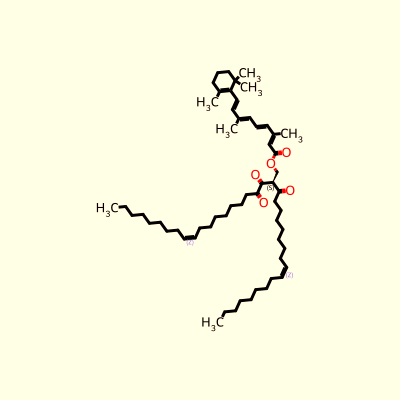 CCCCCCCC/C=C\CCCCCCCC(=O)C(=O)[C@@H](COC(=O)C=C(C)C=CC=C(C)C=CC1=C(C)CCCC1(C)C)C(=O)CCCCCCC/C=C\CCCCCCCC